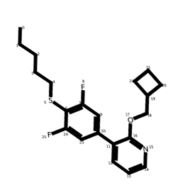 CCCCCSc1c(F)cc(-c2cccnc2OCC2CCC2)cc1F